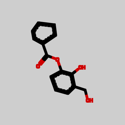 O=C(Oc1cccc(CO)c1O)c1ccccc1